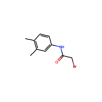 Cc1ccc(NC(=O)CBr)cc1C